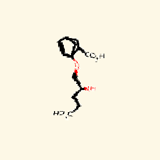 O=C(O)CCC(O)COC12C=CC(CC1C(=O)O)C2